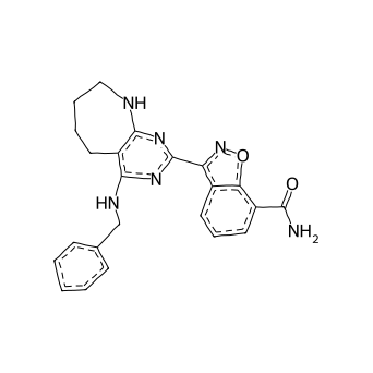 NC(=O)c1cccc2c(-c3nc4c(c(NCc5ccccc5)n3)CCCCN4)noc12